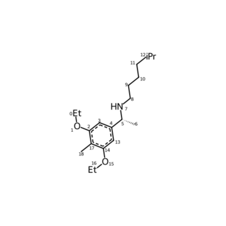 CCOc1cc([C@@H](C)NCCCCC(C)C)cc(OCC)c1C